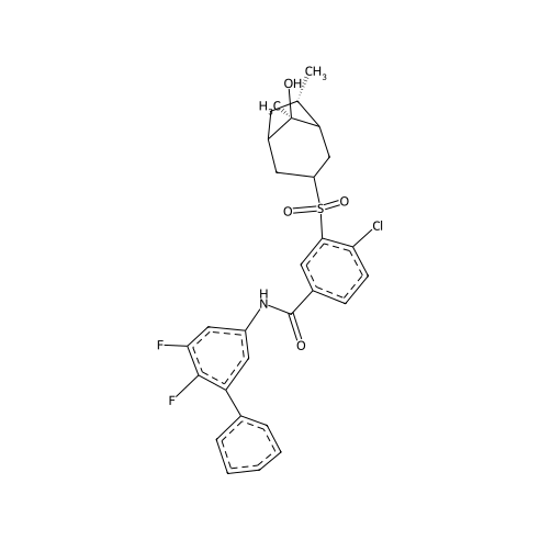 C[C@H]1CC2CC(S(=O)(=O)c3cc(C(=O)Nc4cc(F)c(F)c(-c5ccccc5)c4)ccc3Cl)CC1[C@]2(C)O